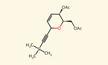 CC(=O)OC[C@H]1OC(C#C[Si](C)(C)C)C=C[C@H]1OC(C)=O